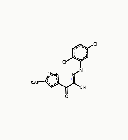 CC(C)(C)c1cc(C(=O)/C(C#N)=N/Nc2cc(Cl)ccc2Cl)no1